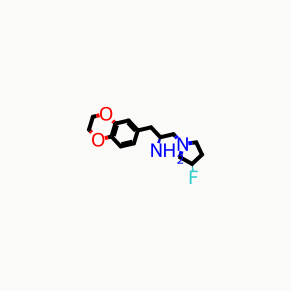 N[C@@H](Cc1ccc2c(c1)OCCO2)CN1CC[C@H](F)C1